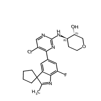 CC1=Nc2c(F)cc(-c3nc(N[C@@H]4CCOC[C@H]4O)ncc3Cl)cc2C12CCCC2